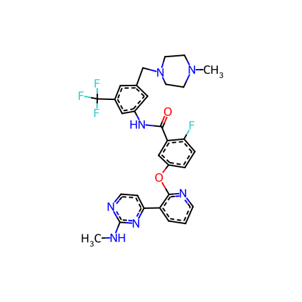 CNc1nccc(-c2cccnc2Oc2ccc(F)c(C(=O)Nc3cc(CN4CCN(C)CC4)cc(C(F)(F)F)c3)c2)n1